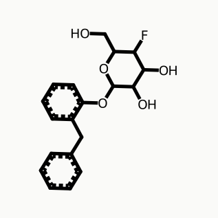 OCC1OC(Oc2ccccc2Cc2ccccc2)C(O)C(O)C1F